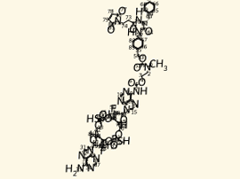 CN(CCOC(=O)Nc1ncnc2c1ncn2[C@@H]1O[C@@H]2CO[P@@](=O)(S)O[C@H]3[C@@H](F)[C@H](n4cnc5c(N)ncnc54)O[C@@H]3CO[P@@](=O)(S)O[C@H]2[C@H]1F)C(=O)OCc1ccc(NC(=O)[C@@H](Cc2ccccc2)NC(=O)CCN2C(=O)C=CC2=O)cc1